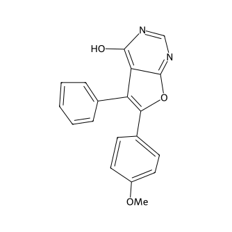 COc1ccc(-c2oc3ncnc(O)c3c2-c2ccccc2)cc1